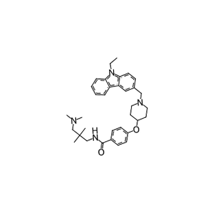 CCn1c2ccccc2c2cc(CN3CCC(Oc4ccc(C(=O)NCC(C)(C)CN(C)C)cc4)CC3)ccc21